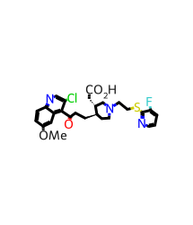 COc1ccc2ncc(Cl)c(C(=O)CC[C@@H]3CCN(CCSc4ncccc4F)C[C@H]3CC(=O)O)c2c1